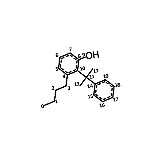 CCCCc1cccc(O)c1C(C)(C)c1ccccc1